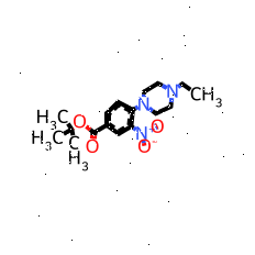 CCN1CCN(c2ccc(C(=O)OC(C)(C)C)cc2[N+](=O)[O-])CC1